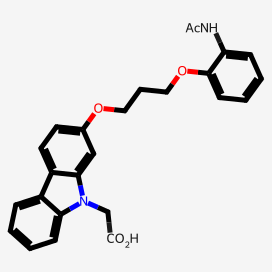 CC(=O)Nc1ccccc1OCCCOc1ccc2c3ccccc3n(CC(=O)O)c2c1